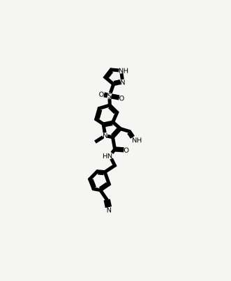 Cn1c(C(=O)NCc2cccc(C#N)c2)c(C=N)c2cc(S(=O)(=O)c3cc[nH]n3)ccc21